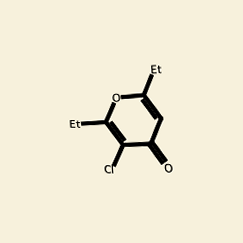 CCc1cc(=O)c(Cl)c(CC)o1